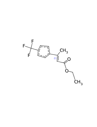 CCOC(=O)/C=C(\C)c1ccc(C(F)(F)F)cc1